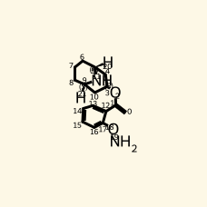 C=C(O[C@@H]1C[C@H]2CCC[C@@H](C1)N2)c1ccccc1ON